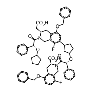 O=C(O)C[C@H]1Cc2c(OCc3ccccc3)cc(C3CCC(O[C@@H](C(=O)N4Cc5c(F)ccc(OCc6ccccc6)c5C[C@H]4C(=O)O)c4ccccc4)C3)c(F)c2CN1C(=O)[C@H](OC1CCCC1)c1ccccc1